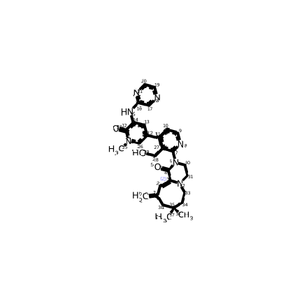 C=C1/C=C2/C(=O)N(c3nccc(-c4cc(Nc5cnccn5)c(=O)n(C)c4)c3CO)CCN2CCC(C)(C)C1